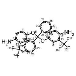 Nc1ccc(OC(Oc2ccc(N)c(C(F)(F)F)c2)(c2ccccc2)c2ccccc2)cc1C(F)(F)F